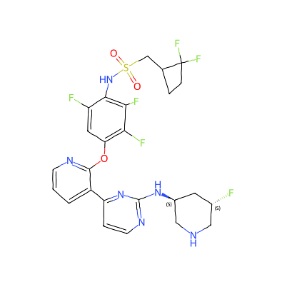 O=S(=O)(CC1CCC1(F)F)Nc1c(F)cc(Oc2ncccc2-c2ccnc(N[C@@H]3CNC[C@@H](F)C3)n2)c(F)c1F